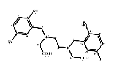 CCc1ccc(O)c(CN(CCN(CC=O)Cc2cc(C)ccc2O)CC(=O)O)c1